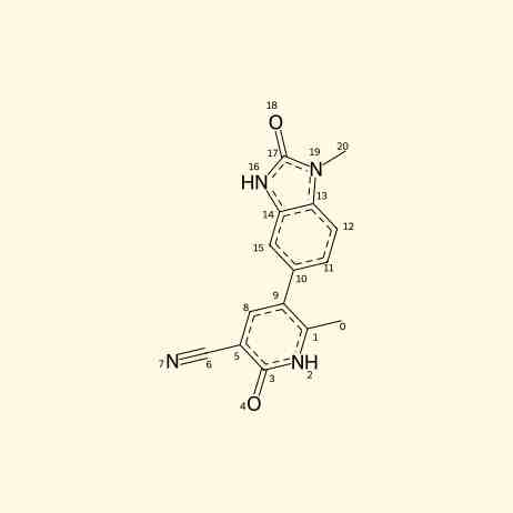 Cc1[nH]c(=O)c(C#N)cc1-c1ccc2c(c1)[nH]c(=O)n2C